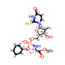 CC(C)OC(=O)[C@H](C)NP(=O)(OC[C@H]1O[C@@H](n2ccc(=O)[nH]c2=S)C(C)[C@H]1O)Oc1ccccc1